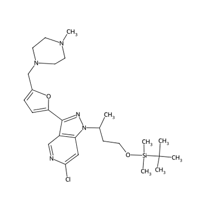 CC(CCO[Si](C)(C)C(C)(C)C)n1nc(-c2ccc(CN3CCN(C)CC3)o2)c2cnc(Cl)cc21